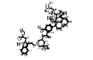 C=C(CC1CN(CCc2c(CC(=O)OC)[nH]c3ccccc23)CC(O)(CC)C1)c1cc2c(cc1OC)N(C)C1C23CCN2CC=C[C@](CC)(C2C3)[C@@H](O)[C@]1(O)C(=O)NC[C@@H](C)O